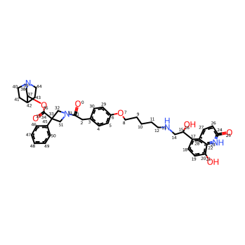 O=C(Cc1ccc(OCCCCCNCC(O)c2ccc(O)c3[nH]c(=O)ccc23)cc1)N1CC(C(=O)OC2CN3CCC2CC3)(c2ccccc2)C1